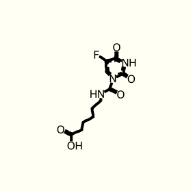 O=C(O)CCCCCNC(=O)n1cc(F)c(=O)[nH]c1=O